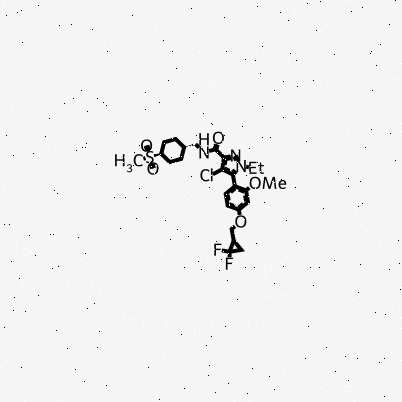 CCn1nc(C(=O)NC[C@H]2CC[C@H](S(C)(=O)=O)CC2)c(Cl)c1-c1ccc(OCC2CC2(F)F)cc1OC